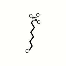 [O]S(=O)(=O)CCCCCCCl